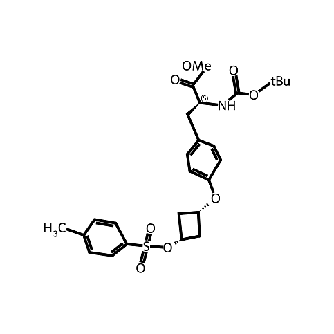 COC(=O)[C@H](Cc1ccc(O[C@H]2C[C@@H](OS(=O)(=O)c3ccc(C)cc3)C2)cc1)NC(=O)OC(C)(C)C